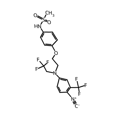 [C-]#[N+]c1ccc(N(CCOc2ccc(NS(C)(=O)=O)cc2)CC(F)(F)F)cc1C(F)(F)F